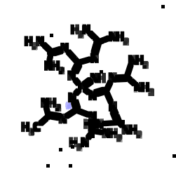 CC(N)=N/C(N=C(N)N)=N/P(=N)(N=C(N=C(N)N)N=C(N)N)N=C(N=C(N)N)N=C(N)N